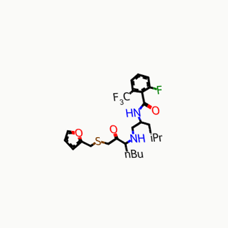 CCCCC(NCC(CC(C)C)NC(=O)c1c(F)cccc1C(F)(F)F)C(=O)CSCc1ccco1